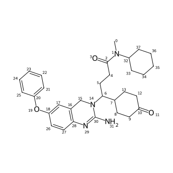 CN(C(=O)CCC(C1CCC(=O)CC1)N1Cc2cc(Oc3ccccc3)ccc2N=C1N)C1CCCCC1